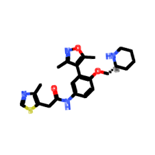 Cc1ncsc1CC(=O)Nc1ccc(OC[C@H]2CCCCN2)c(-c2c(C)noc2C)c1